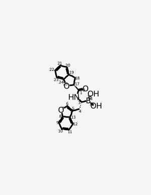 O=C(N[C@@H](Cc1coc2ccccc12)B(O)O)[C@@H]1Cc2ccccc2O1